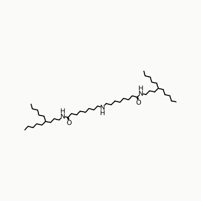 CCCCCC(CCCCC)CCCNC(=O)CCCCCCCNCCCCCCCC(=O)NCCCC(CCCCC)CCCCC